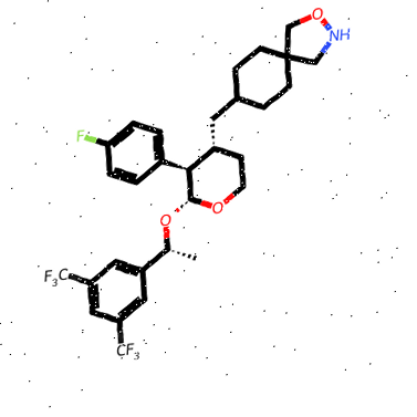 C[C@@H](O[C@H]1OCC[C@@H](CC2CCC3(CC2)CNOC3)[C@@H]1c1ccc(F)cc1)c1cc(C(F)(F)F)cc(C(F)(F)F)c1